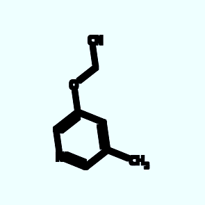 Cc1cncc(OCC#N)c1